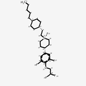 CCCCC[C@H]1CC[C@H](CC[Si@]2(F)CC[C@@H](c3cc(F)c(OCC(F)F)c(F)c3)CC2)CC1